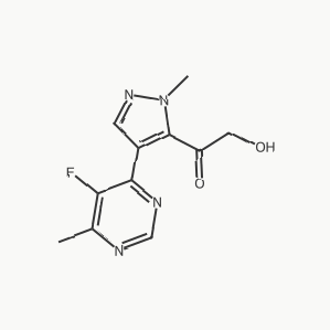 Cc1ncnc(-c2cnn(C)c2C(=O)CO)c1F